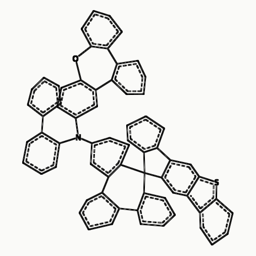 c1ccc(-c2ccccc2N(c2ccc3c(c2)-c2ccccc2-c2ccccc2O3)c2ccc3c(c2)-c2ccccc2-c2ccccc2C32c3ccccc3-c3cc4sc5ccccc5c4cc32)cc1